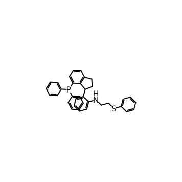 c1ccc(SCCNc2ccccc2C2CCc3cccc(P(c4ccccc4)c4ccccc4)c32)cc1